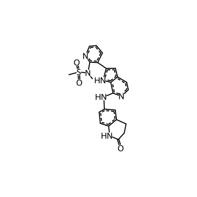 CN(c1ncccc1-c1cc2ccnc(Nc3ccc4c(c3)CCC(=O)N4)c2[nH]1)S(C)(=O)=O